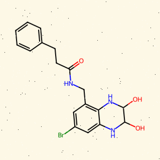 O=C(CCc1ccccc1)NCc1cc(Br)cc2c1NC(O)C(O)N2